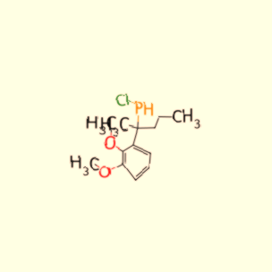 CCCC(C)(PCl)c1cccc(OC)c1OC